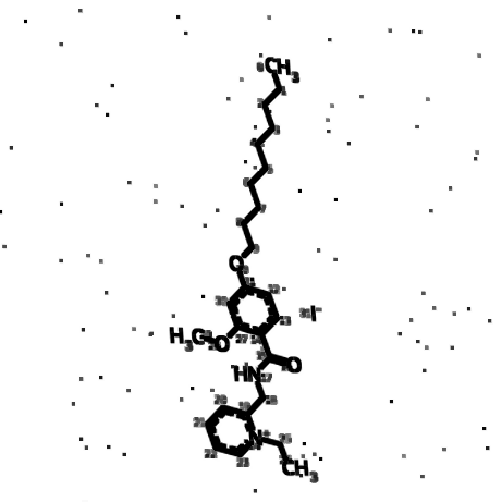 CCCCCCCCCCOc1ccc(C(=O)NCc2cccc[n+]2CC)c(OC)c1.[I-]